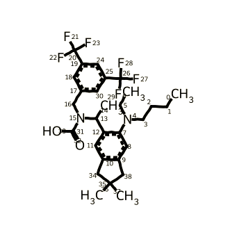 CCCCN(CC)c1cc2c(cc1C(C)N(Cc1cc(C(F)(F)F)cc(C(F)(F)F)c1)C(=O)O)CC(C)(C)C2